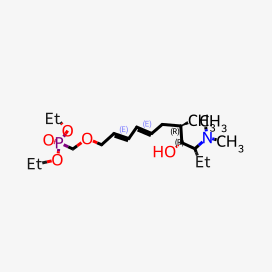 CCOP(=O)(COC/C=C/C=C/C[C@@H](C)[C@@H](O)C(CC)N(C)C)OCC